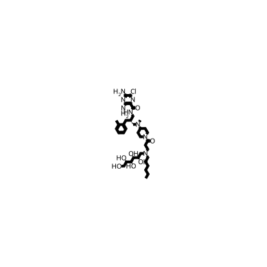 CCCCCCN(CCC(=O)N1CCC(N(C)C[C@@H](CNC(=O)c2nc(Cl)c(N)nc2N)Cc2ccccc2C)CC1)C[C@@H](O)[C@@H](O)[C@H](O)[C@H](O)CO